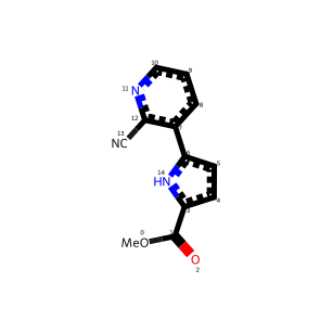 COC(=O)c1ccc(-c2cccnc2C#N)[nH]1